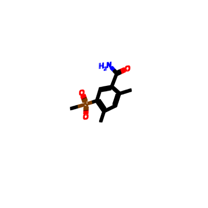 Cc1cc(C)c(S(C)(=O)=O)cc1C(N)=O